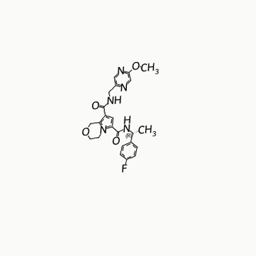 COc1cnc(CNC(=O)c2cc(C(=O)N[C@H](C)c3ccc(F)cc3)n3c2COCC3)cn1